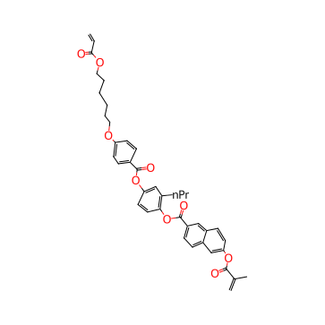 C=CC(=O)OCCCCCCOc1ccc(C(=O)Oc2ccc(OC(=O)c3ccc4cc(OC(=O)C(=C)C)ccc4c3)c(CCC)c2)cc1